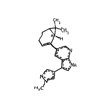 Cn1cc(-c2c[nH]c3ncc(C4=CCCC5[C@@H]4C5(C)C)cc23)cn1